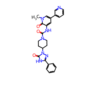 Cn1cc(-c2cccnc2)cc(NC(=O)N2CCC(n3nc(-c4ccccc4)[nH]c3=O)CC2)c1=O